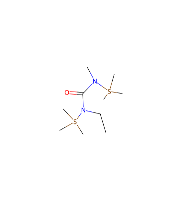 CCN(C(=O)N(C)S(C)(C)C)S(C)(C)C